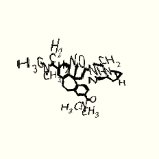 C=C(c1ccc2c(c1)CCc1cc(C(=O)N(C)C)ccc1C2(CCNCC(=C)N1C(C#N)C[C@@H]2CC21)C(N)=O)N(C)C